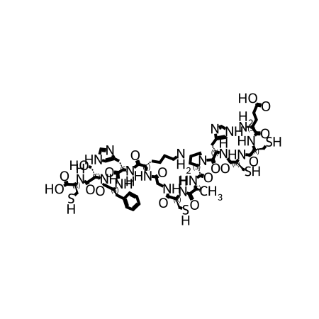 C[C@H](NC(=O)[C@@H]1CCCN1C(=O)[C@H](Cc1c[nH]cn1)NC(=O)[C@H](CS)NC(=O)[C@H](CS)NC(=O)[C@@H](N)CCC(=O)O)C(=O)N[C@@H](CS)C(=O)NCC(=O)N[C@@H](CCCCN)C(=O)N[C@@H](Cc1c[nH]cn1)C(=O)N[C@@H](Cc1ccccc1)C(=O)N[C@@H](CO)C(=O)N[C@@H](CS)C(=O)O